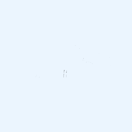 c1ccc([As](CCNCC[As](c2ccccc2)c2ccccc2)c2ccccc2)cc1